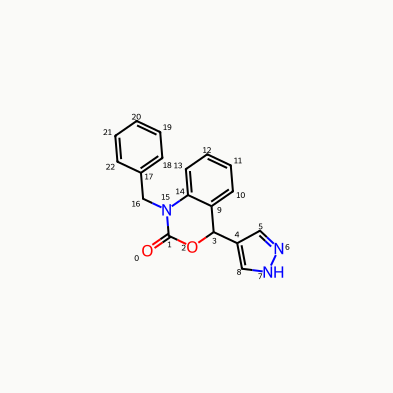 O=C1OC(c2cn[nH]c2)c2ccccc2N1Cc1ccccc1